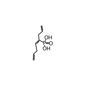 C=CCC=C(CC=C)P(=O)(O)O